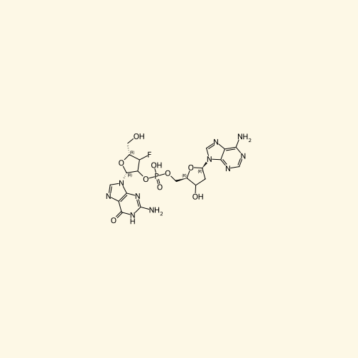 Nc1nc2c(ncn2[C@@H]2O[C@H](CO)C(F)C2OP(=O)(O)OC[C@H]2O[C@@H](n3cnc4c(N)ncnc43)CC2O)c(=O)[nH]1